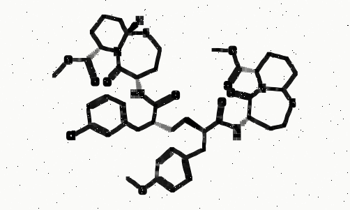 COC(=O)[C@@H]1CCCC2SCC[C@H](NC(=O)[C@H](CC[C@H](Cc3cccc(Cl)c3)C(=O)N[C@H]3CCS[C@H]4CCC[C@@H](C(=O)OC)N4C3=O)Cc3ccc(OC)cc3)C(=O)N21